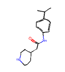 CC(C)c1ccc(NC(=O)CC2CCNCC2)cc1